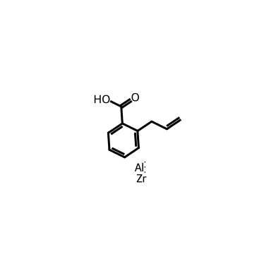 C=CCc1ccccc1C(=O)O.[Al].[Zr]